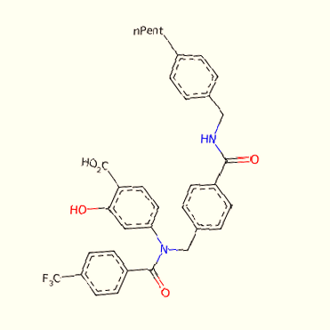 CCCCCc1ccc(CNC(=O)c2ccc(CN(C(=O)c3ccc(C(F)(F)F)cc3)c3ccc(C(=O)O)c(O)c3)cc2)cc1